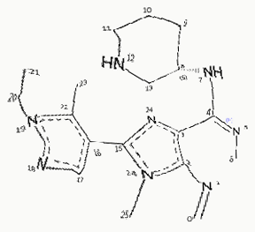 C=Nc1c(/C(=N\C)N[C@H]2CCCNC2)nc(-c2cnn(CC)c2C)n1C